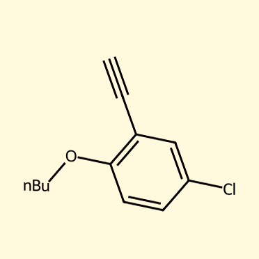 C#Cc1cc(Cl)ccc1OCCCC